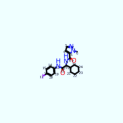 Cn1nccc1C(=O)NC(C(=O)Nc1ccc(I)cc1)C1CCCCC1